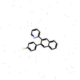 Fc1ccc(-c2cc3ccccc3cc2-c2ccccn2)cc1